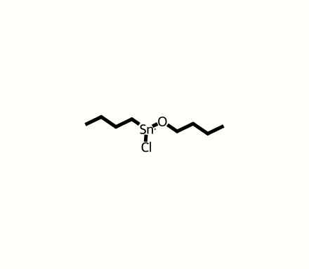 CCCC[O][Sn]([Cl])[CH2]CCC